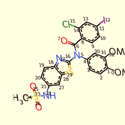 COc1ccc(N(C(=O)c2ccc(I)cc2Cl)c2nc3ccc(NS(C)(=O)=O)cc3s2)cc1OC